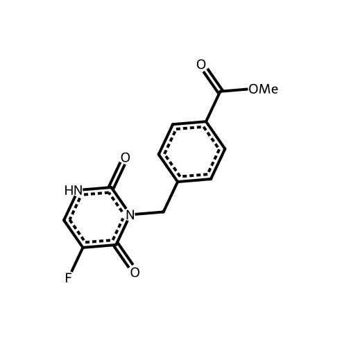 COC(=O)c1ccc(Cn2c(=O)[nH]cc(F)c2=O)cc1